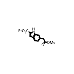 CCOC(=O)c1cc2ccc(CC(=O)OC)cc2[nH]1